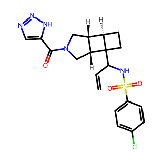 C=CC(NS(=O)(=O)c1ccc(Cl)cc1)C12CC[C@@H]1[C@H]1CN(C(=O)c3cnn[nH]3)C[C@H]12